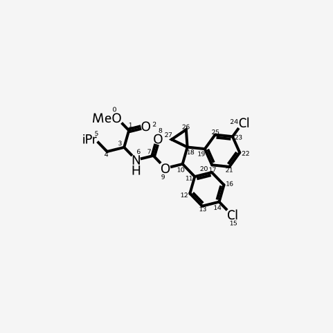 COC(=O)C(CC(C)C)NC(=O)OC(c1ccc(Cl)cc1)C1(c2cccc(Cl)c2)CC1